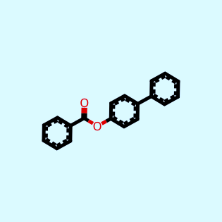 O=C(Oc1ccc(-c2ccccc2)cc1)c1ccccc1